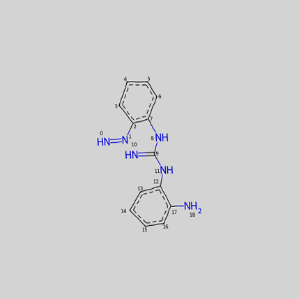 N=Nc1ccccc1NC(=N)Nc1ccccc1N